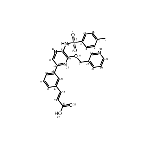 Cc1ccc(S(=O)(=O)Nc2ncc(-c3cccc(C=CC(=O)O)c3)nc2OCc2cccnc2)cc1